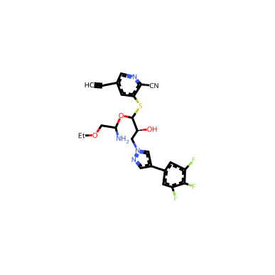 C#Cc1cnc(C#N)c(SC(OC(N)COCC)[C@@H](O)Cn2cc(-c3cc(F)c(F)c(F)c3)cn2)c1